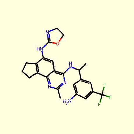 Cc1nc(NC(C)c2cc(N)cc(C(F)(F)F)c2)c2cc(NC3=NCCO3)c3c(c2n1)CCC3